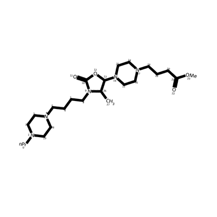 CCCN1CCN(CCCCN2C(=O)OC(N3CCN(CCCC(=O)OC)CC3)C2C)CC1